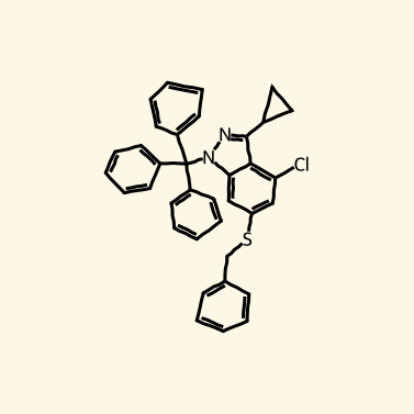 Clc1cc(SCc2ccccc2)cc2c1c(C1CC1)nn2C(c1ccccc1)(c1ccccc1)c1ccccc1